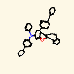 c1ccc(-c2ccc(-c3cc(N(c4ccccc4)c4ccc(-c5ccccc5)cc4)cc4oc5c6ccccc6ccc5c34)cc2)cc1